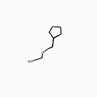 CC(=O)OCOCC1CCCC1